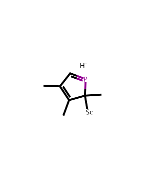 CC1=C(C)[C](C)([Sc])P=C1.[H-]